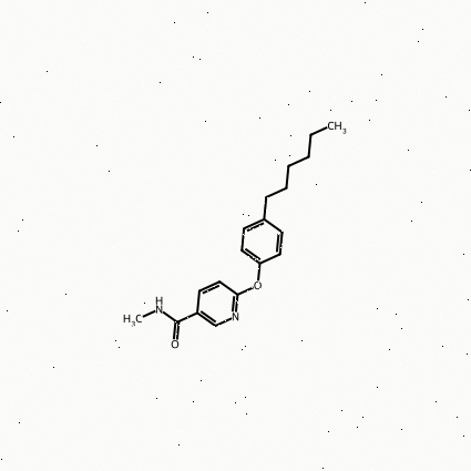 CCCCCCc1ccc(Oc2ccc(C(=O)NC)cn2)cc1